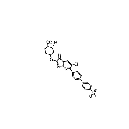 CS(=O)(=O)c1ccc(-c2ccc(-c3nc4nc(OC5CCC(C(=O)O)CC5)[nH]c4cc3Cl)cc2)cc1